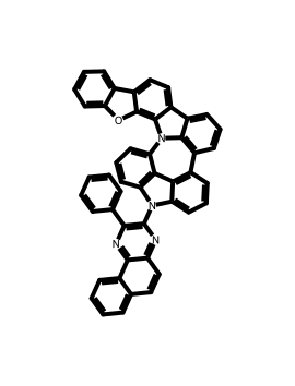 c1ccc(-c2nc3c(ccc4ccccc43)nc2-n2c3cccc4c5cccc6c7ccc8c9ccccc9oc8c7n(c7cccc2c7c43)c56)cc1